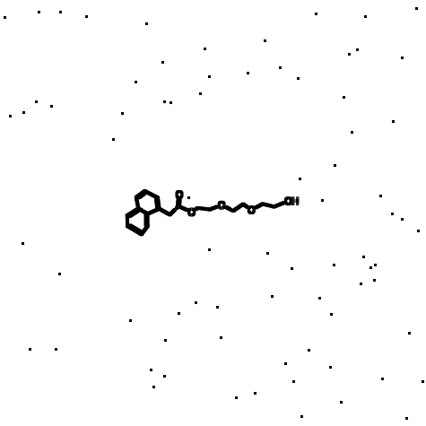 O=C(Cc1cccc2ccccc12)OCCOCCOCCO